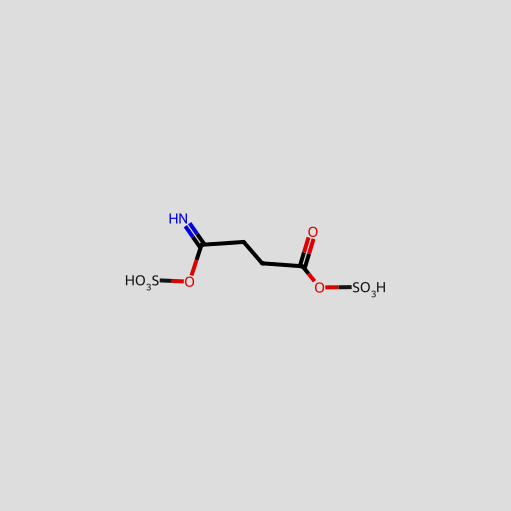 N=C(CCC(=O)OS(=O)(=O)O)OS(=O)(=O)O